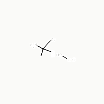 CC(C)C(C)(N)O.O=CO